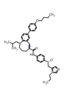 CCCCOc1ccc(-c2ccc3c(c2)/C=C(/C(=O)Nc2ccc([S+]([O-])Cc4cncn4CCC)cc2)CCCN3CC(C)C)cc1